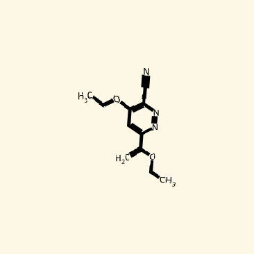 C=C(OCC)c1cc(OCC)c(C#N)nn1